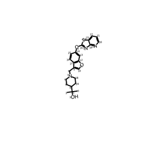 CC(C)(O)C1CCN(Cc2coc3cc(Oc4nc5ncccc5s4)ccc23)CC1